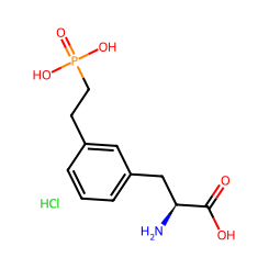 Cl.N[C@@H](Cc1cccc(CCP(=O)(O)O)c1)C(=O)O